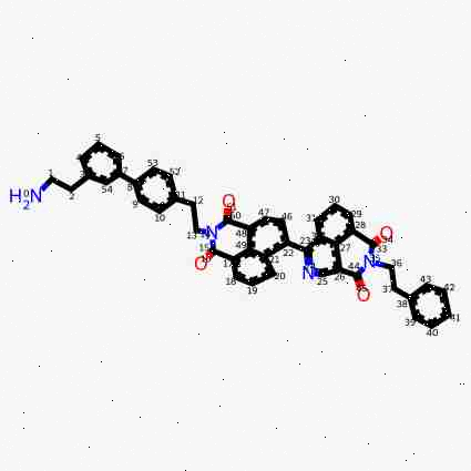 NCCc1cccc(-c2ccc(CCN3C(=O)c4cccc5c(-c6ncc7c8c(cccc68)C(=O)N(CCc6ccccc6)C7=O)ccc(c45)C3=O)cc2)c1